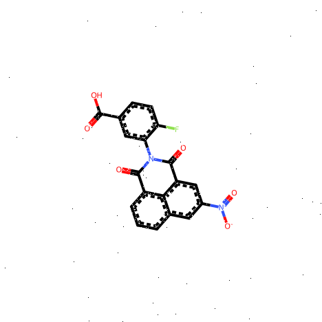 O=C(O)c1ccc(F)c(N2C(=O)c3cccc4cc([N+](=O)[O-])cc(c34)C2=O)c1